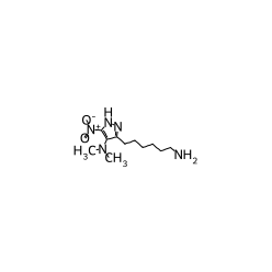 CN(C)c1c(CCCCCCN)n[nH]c1[N+](=O)[O-]